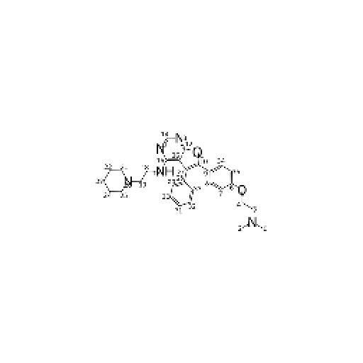 CN(C)CCOc1ccc(-c2oc3ncnc(NCCN4CCCCC4)c3c2-c2ccccc2)cc1